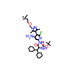 Cc1nn(COCC[Si](C)(C)C)c(C)c1-c1c(N)cc(NC(=O)[C@@H](NC(=O)OC(C)(C)C)C(C2CCCCC2)C2CCCCC2)nc1F